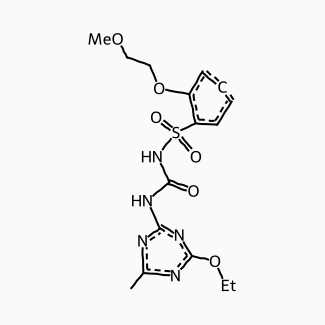 CCOc1nc(C)nc(NC(=O)NS(=O)(=O)c2ccccc2OCCOC)n1